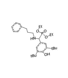 CCOP(=O)(OCC)C(NCCCc1ccccc1)c1cc(C(C)(C)C)c(O)c(C(C)(C)C)c1